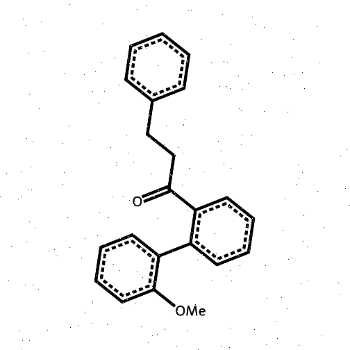 COc1ccccc1-c1ccccc1C(=O)CCc1ccccc1